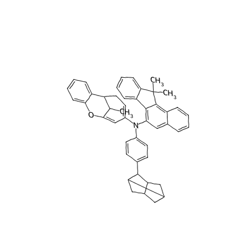 CC1C2=CC(N(c3ccc(C4C5CC6CC5CC64)cc3)c3cc4ccccc4c4c3-c3ccccc3C4(C)C)=CCC1c1ccccc1O2